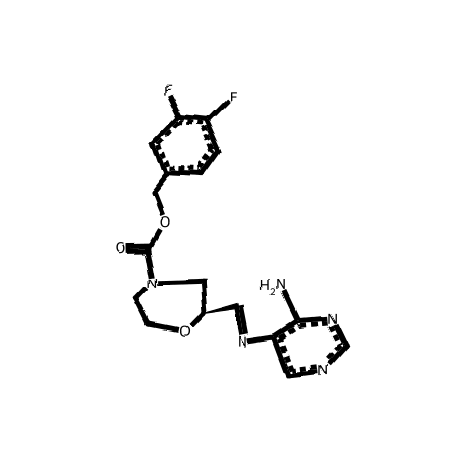 Nc1ncncc1/N=C/[C@@H]1CN(C(=O)OCc2ccc(F)c(F)c2)CCO1